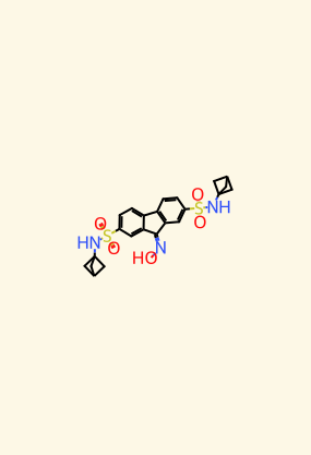 O=S(=O)(NC12CC(C1)C2)c1ccc2c(c1)C(=NO)c1cc(S(=O)(=O)NC34CC(C3)C4)ccc1-2